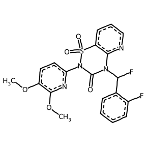 COc1ccc(N2C(=O)N(C(F)c3ccccc3F)c3ncccc3S2(=O)=O)nc1OC